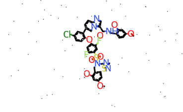 COc1ccc(CNC(=O)c2cnc3ccc(-c4cc(Cl)ccc4Oc4cc(F)c(S(=O)(=O)N(Cc5ccc(OC)cc5OC)c5ncns5)cc4F)cn23)c(OC)c1